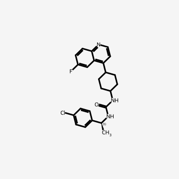 C[C@H](NC(=O)NC1CCC(c2ccnc3ccc(F)cc23)CC1)c1ccc(Cl)cc1